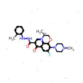 Cc1ccccc1NNC(=O)c1cn2c3c(c(N4CCN(C)CC4)c(F)cc3c1=O)OC[C@@H]2C